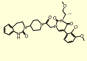 COC[C@H](C)n1c(=O)c(-c2cccc(OC)c2Cl)cn(CC(=O)N2CCC(N3CCc4ccccc4NC3=O)CC2)c1=O